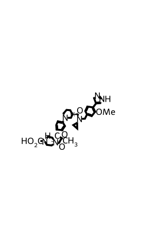 COc1cc(CN(C(=O)[C@@H]2CCCN(c3cccc(OC(C)(C)C(=O)N4CCN(C(=O)O)CC4)c3)C2)C2CC2)ccc1-c1cn[nH]c1